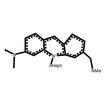 CCCCCCC[n+]1c2cc(CNC)ccc2cc2ccc(N(C)C)cc21